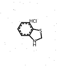 Cl.c1ccc2c(c1)NCS2